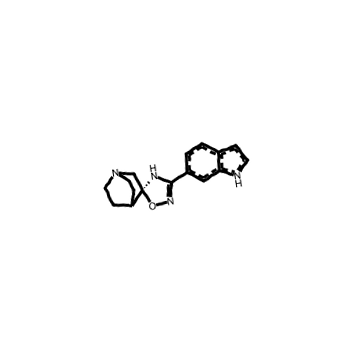 c1cc2ccc(C3=NO[C@@]4(CN5CCC4CC5)N3)cc2[nH]1